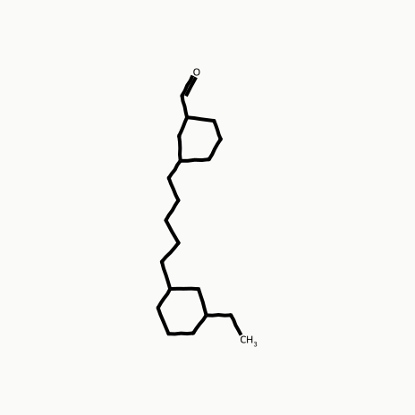 CCC1CCCC(CCCCCC2CCCC(C=O)C2)C1